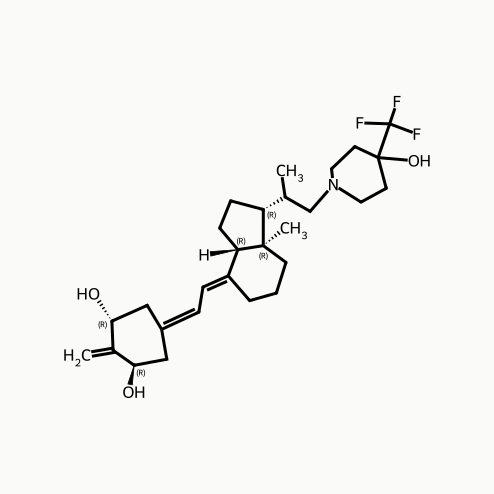 C=C1[C@H](O)CC(=CC=C2CCC[C@]3(C)[C@@H](C(C)CN4CCC(O)(C(F)(F)F)CC4)CC[C@@H]23)C[C@H]1O